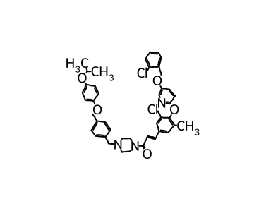 Cc1cc(C=CC(=O)N2CCN(Cc3ccc(COc4ccc(OC(C)C)cc4)cc3)CC2)cc(Cl)c1Oc1ccc(OCc2ccccc2Cl)cn1